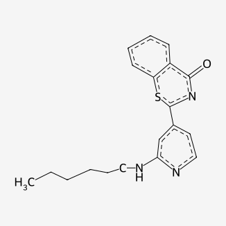 CCCCCCNc1cc(-c2nc(=O)c3ccccc3s2)ccn1